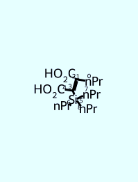 CCCC(C(=O)O)=C(C(=O)O)[Si](CCC)(CCC)CCC